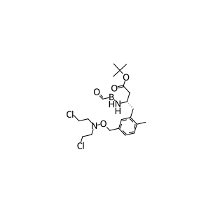 Cc1ccc(CON(CCCl)CCCl)cc1C[C@@H](CC(=O)OC(C)(C)C)NBC=O